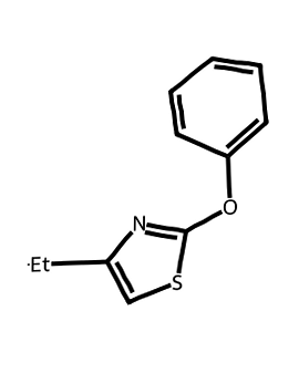 C[CH]c1csc(Oc2ccccc2)n1